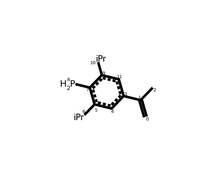 C=C(C)c1cc(C(C)C)c(P)c(C(C)C)c1